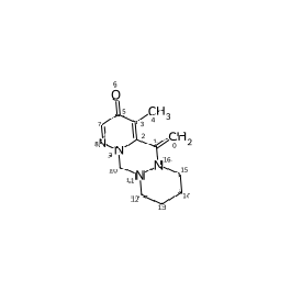 C=C1c2c(C)c(=O)cnn2CN2CCCCN12